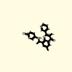 Cc1cc(C(C)Nc2ccc(Cl)nc2)c2oc(-c3cccnc3)c(C)c(=O)c2c1